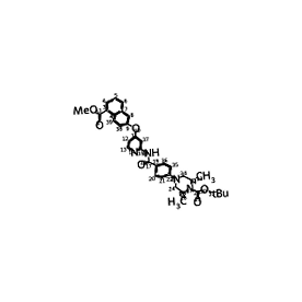 COC(=O)c1cccc2cc(Oc3ccnc(NC(=O)c4ccc(N5C[C@@H](C)N(C(=O)OC(C)(C)C)[C@@H](C)C5)cc4)c3)ccc12